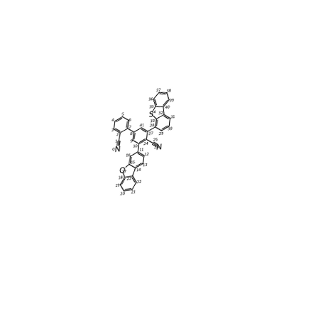 N#Cc1ccccc1-c1cc(-c2ccc3c(c2)oc2ccccc23)c(C#N)c(-c2cccc3c2sc2ccccc23)c1